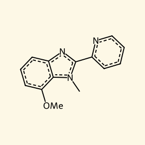 COc1cccc2nc(-c3ccccn3)n(C)c12